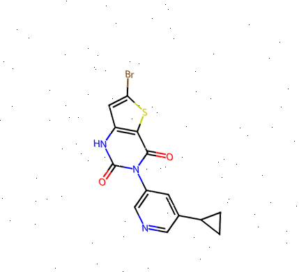 O=c1[nH]c2cc(Br)sc2c(=O)n1-c1cncc(C2CC2)c1